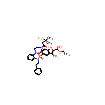 CCOC(O)c1oc2ccc(S(=O)(=O)N(CCc3ccccc3)c3ccccc3N3CCN(C(=O)CC(C)(C)C)CC3)cc2c1C